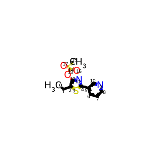 CCc1sc(-c2cccnc2)nc1OS(C)(=O)=O